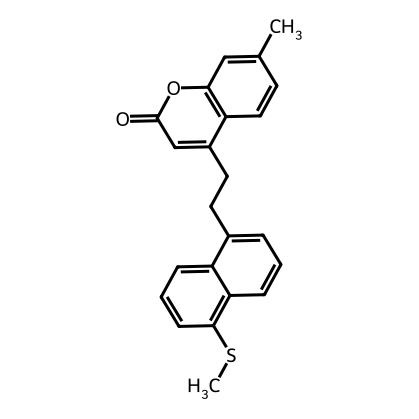 CSc1cccc2c(CCc3cc(=O)oc4cc(C)ccc34)cccc12